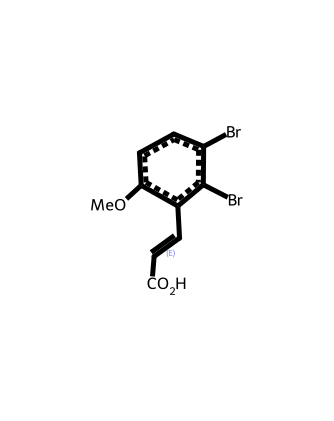 COc1ccc(Br)c(Br)c1/C=C/C(=O)O